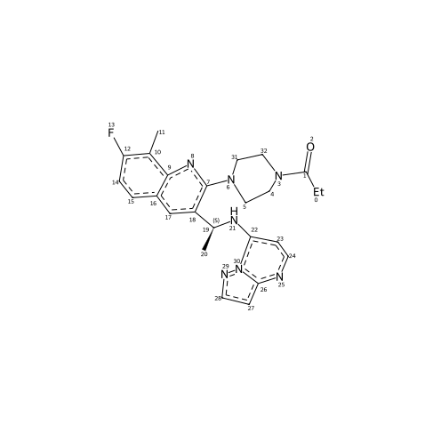 CCC(=O)N1CCN(c2nc3c(C)c(F)ccc3cc2[C@H](C)Nc2ccnc3ccnn23)CC1